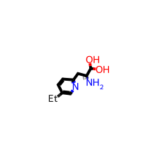 CCc1ccc(C[C@H](N)C(O)O)nc1